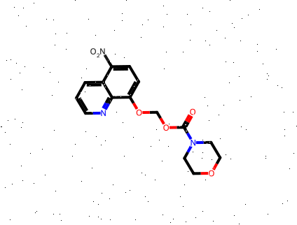 O=C(OCOc1ccc([N+](=O)[O-])c2cccnc12)N1CCOCC1